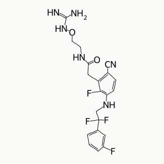 N#Cc1ccc(NCC(F)(F)c2cccc(F)c2)c(F)c1CC(=O)NCCONC(=N)N